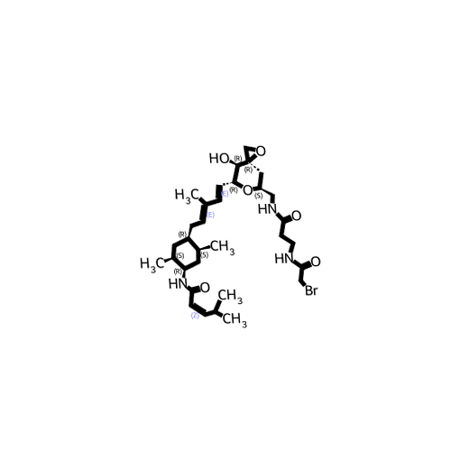 CC(/C=C/[C@H]1O[C@H](CNC(=O)CCNC(=O)CBr)C[C@@]2(CO2)[C@@H]1O)=C\C[C@@H]1C[C@H](C)[C@H](NC(=O)/C=C\C(C)C)C[C@@H]1C